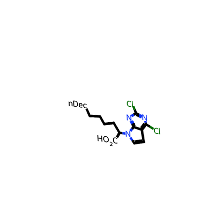 CCCCCCCCCCCCCCC(C(=O)O)n1ccc2c(Cl)nc(Cl)nc21